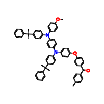 COc1ccc(N(c2ccc(N(c3ccc(Oc4ccc(C(=O)c5ccc(C)cc5)cc4)cc3)c3ccc(C(C)(C)c4ccccc4)cc3)cc2)c2ccc(C(C)(C)c3ccccc3)cc2)cc1